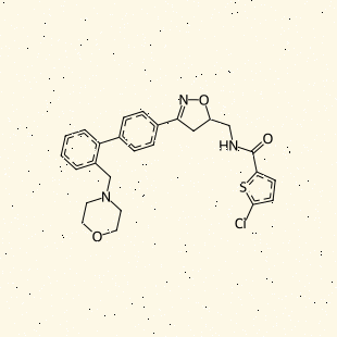 O=C(NCC1CC(c2ccc(-c3ccccc3CN3CCOCC3)cc2)=NO1)c1ccc(Cl)s1